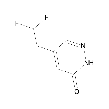 O=c1cc(CC(F)F)cn[nH]1